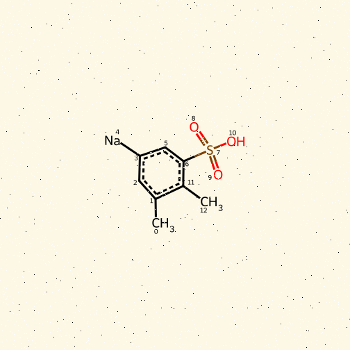 Cc1c[c]([Na])cc(S(=O)(=O)O)c1C